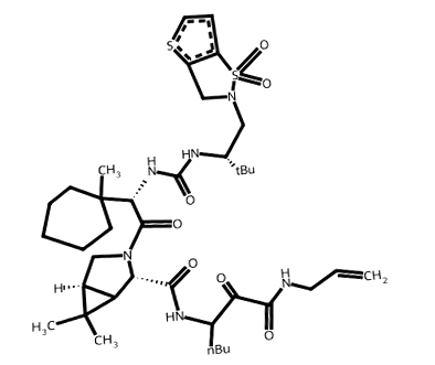 C=CCNC(=O)C(=O)C(CCCC)NC(=O)[C@@H]1C2[C@H](CN1C(=O)[C@@H](NC(=O)N[C@H](CN1Cc3sccc3S1(=O)=O)C(C)(C)C)C1(C)CCCCC1)C2(C)C